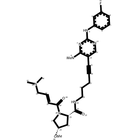 CNc1nc(Nc2cccc(F)c2)ncc1C#CCCCNC(=O)[C@@H]1C[C@H](OC)CN1C(=O)/C=C/CN(C)C